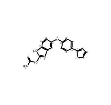 NC(=O)Oc1nc2cc(Sc3ccc(-c4cccs4)cc3)ccc2[nH]1